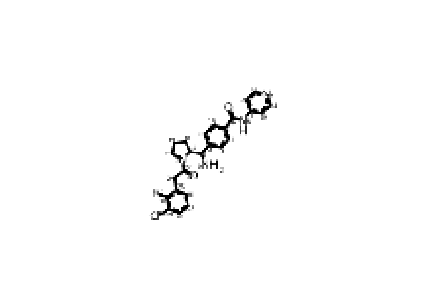 NC(c1ccc(C(=O)Nc2ccncc2)cc1)C1CCCN1C(=O)Cc1cccc(Cl)c1F